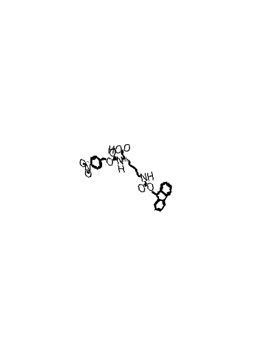 O=C(NCCCC[C@H](NC(=O)OCc1ccc([N+](=O)[O-])cc1)C(=O)O)OCC1c2ccccc2-c2ccccc21